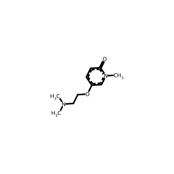 CN(C)CCOc1ccc(=O)n(C)c1